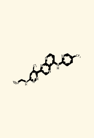 CC(C)(C)CNc1cc(C(F)(F)F)c(-c2cnc3c(Nc4ccc(C(F)(F)F)cn4)ccnc3n2)nn1